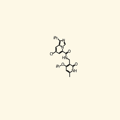 Cc1cc(OC(C)C)c(CNC(=O)c2cc(Cl)cc3c(C(C)C)ncn23)c(=O)[nH]1